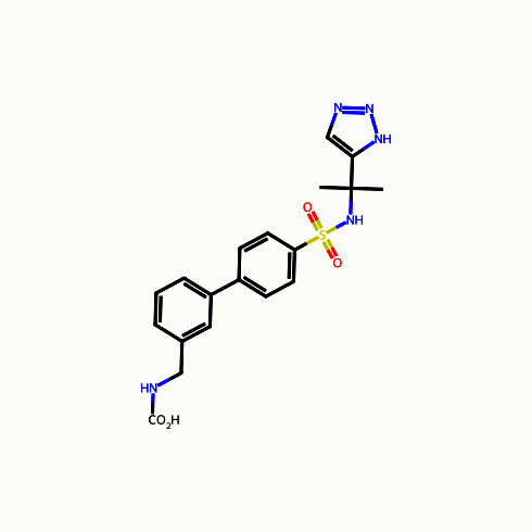 CC(C)(NS(=O)(=O)c1ccc(-c2cccc(CNC(=O)O)c2)cc1)c1cnn[nH]1